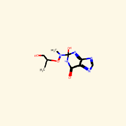 CC(CO)ON(C)C1(O)N=C2N=CN=C2C(=O)N1